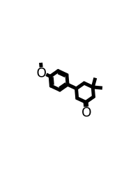 COc1ccc(C2CC(=O)CC(C)(C)C2)cc1